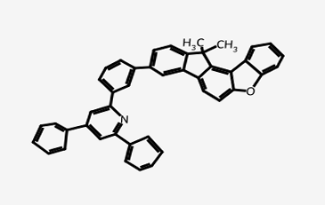 CC1(C)c2ccc(-c3cccc(-c4cc(-c5ccccc5)cc(-c5ccccc5)n4)c3)cc2-c2ccc3oc4ccccc4c3c21